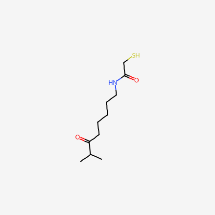 CC(C)C(=O)CCCCCNC(=O)CS